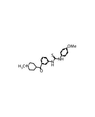 COc1ccc(NC(=S)Nc2cccc(C(=O)C3CCN(C)CC3)c2)cc1